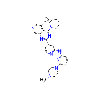 CN1CCN(c2cccc(Nc3cc(-c4nc(N5CCCCC5)c5c(C6CC6)cncc5n4)ccn3)n2)CC1